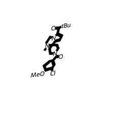 COc1ccc(C(=O)N2CCC3(CC2)c2ccc(C(=O)C(C)(C)C)n2CCN3C)cc1Cl